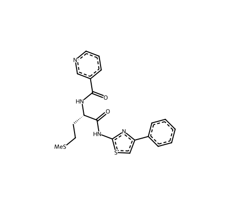 CSCC[C@H](NC(=O)c1cccnc1)C(=O)Nc1nc(-c2ccccc2)cs1